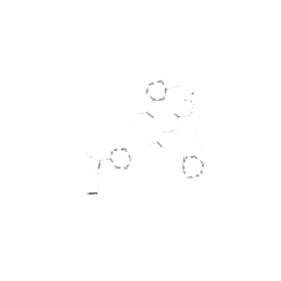 COC(=O)c1cccc(CS(=O)(=O)N[C@H](CCCc2ccccc2)C(=O)NCC(=O)NCc2ccc(/C(N)=N\OC(C)=O)cc2)c1